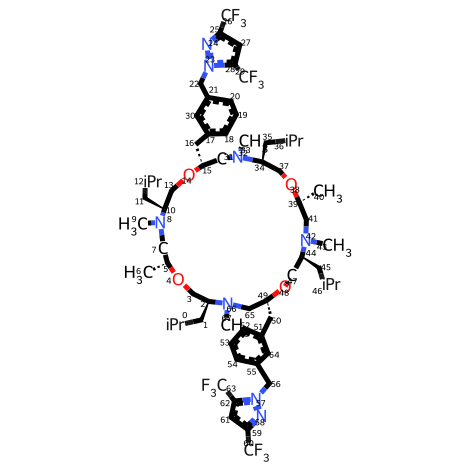 CC(C)C[C@H]1CO[C@H](C)CN(C)[C@@H](CC(C)C)CO[C@H](Cc2cccc(Cn3nc(C(F)(F)F)cc3C(F)(F)F)c2)CN(C)[C@@H](CC(C)C)CO[C@H](C)CN(C)[C@@H](CC(C)C)CO[C@H](Cc2cccc(Cn3nc(C(F)(F)F)cc3C(F)(F)F)c2)CN1C